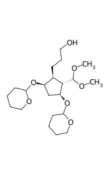 COC(OC)[C@H]1[C@H](CCCO)[C@H](OC2CCCCO2)C[C@@H]1OC1CCCCO1